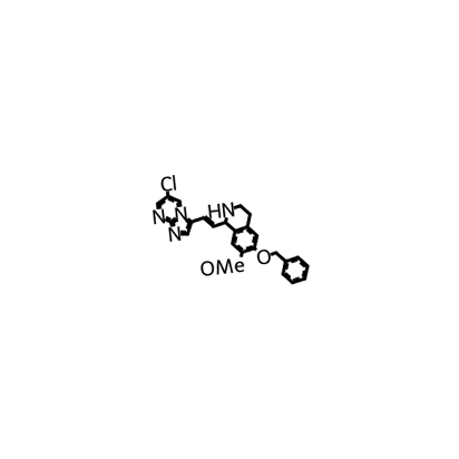 COc1cc2c(cc1OCc1ccccc1)CCNC2/C=C/c1cnc2ncc(Cl)cn12